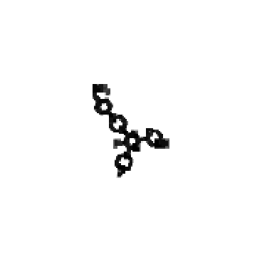 CN1CCN(c2nc(C3CNCCO3)nc(N3CCN(c4ccc(CN)cc4)CC3)c2F)CC1